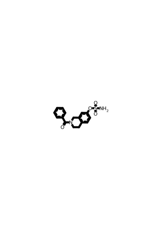 NS(=O)(=O)Oc1ccc2c(c1)CN(C(=O)c1ccccc1)CC2